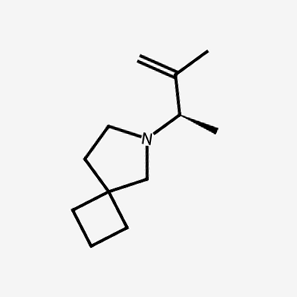 C=C(C)[C@@H](C)N1CCC2(CCC2)C1